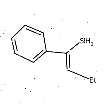 CCC=C([SiH3])c1ccccc1